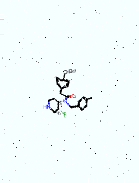 Cc1ccc(CN(C(=O)Cc2ccc(OCC(C)C)cc2)[C@H]2CCNC[C@H]2F)cc1